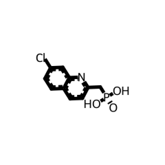 O=P(O)(O)Cc1ccc2ccc(Cl)cc2n1